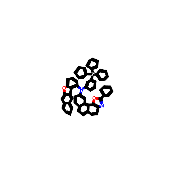 c1ccc(-c2nc3ccc4ccc5ccc(N(c6cccc([Si](c7ccccc7)(c7ccccc7)c7ccccc7)c6)c6cccc7oc8cc9ccccc9cc8c67)cc5c4c3o2)cc1